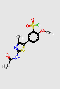 COc1ccc(-c2sc(NC(C)=O)nc2C)cc1S(=O)(=O)Cl